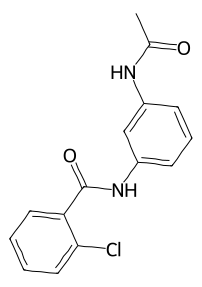 CC(=O)Nc1cccc(NC(=O)c2ccccc2Cl)c1